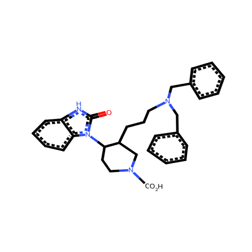 O=C(O)N1CCC(n2c(=O)[nH]c3ccccc32)C(CCCN(Cc2ccccc2)Cc2ccccc2)C1